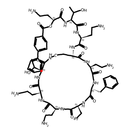 CC(C)C[C@@H]1NC(=O)[C@@H](Cc2ccccc2)NC(=O)[C@H](CCN)NC(=O)[C@@H](NC(=O)[C@H](CCN)NC(=O)[C@@H](NC(=O)[C@H](CCN)OC(=O)c2ccc(-c3ccccc3)cc2)C(C)O)CCNC(=O)[C@H](C(C)O)NC(=O)[C@H](CCN)NC(=O)[C@H](CCN)NC1=O